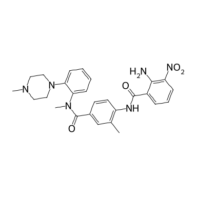 Cc1cc(C(=O)N(C)c2ccccc2N2CCN(C)CC2)ccc1NC(=O)c1cccc([N+](=O)[O-])c1N